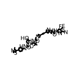 Cc1ncsc1-c1ccc([C@H](C)NC(=O)[C@@H]2C[C@@H](O)CN2C(=O)[C@@H](NC(=O)CN2CC(C#Cc3cnn(C(C)(C)C(=O)Nc4cnc(C#N)c(C(F)(F)F)c4)c3)C2)C(C)(C)C)cc1